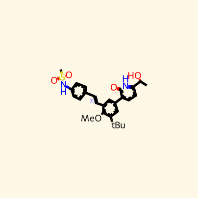 COc1c(/C=C/c2ccc(NS(C)(=O)=O)cc2)cc(-c2ccc(C(C)O)[nH]c2=O)cc1C(C)(C)C